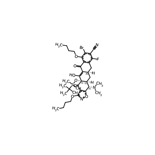 CCCCOc1noc2c1C(=O)[C@@]1(O[Si](C)(C)C(C)(C)C)C(O)=C3C(=O)c4c(c(F)c(C#N)c(Br)c4OCCCC)C[C@H]3C[C@H]1[C@@H]2N(C)C